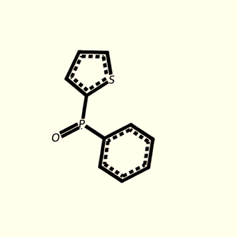 O=[P](c1ccccc1)c1cccs1